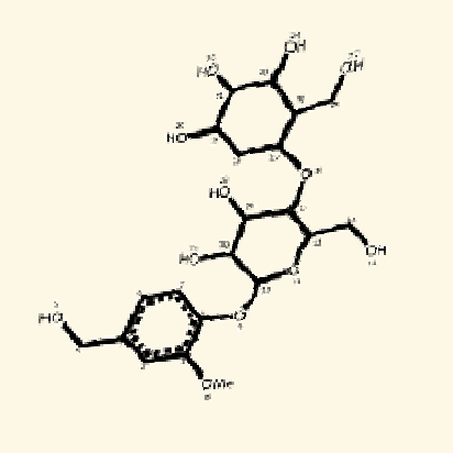 COc1cc(CO)ccc1OC1OC(CO)C(OC2CC(O)C(O)C(O)C2CO)C(O)C1O